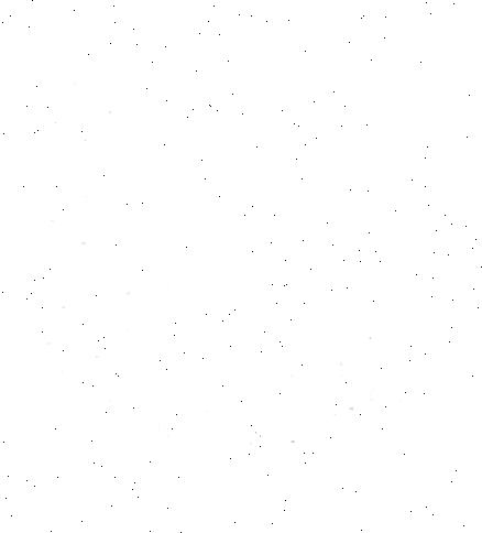 C=C(O)[C@H]1[C@@H]2Cc3cc(OCc4cc(-c5c(F)cc(OCCC6(O)COC6)cc5F)c(C)cc4F)ncc3[C@@H]21